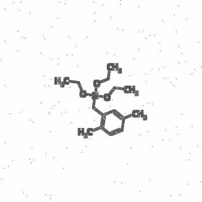 CCO[Si](Cc1cc(C)ccc1C)(OCC)OCC